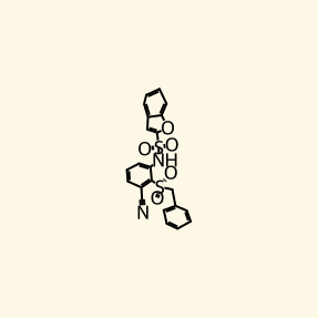 N#Cc1cccc(NS(=O)(=O)c2cc3ccccc3o2)c1S(=O)(=O)Cc1ccccc1